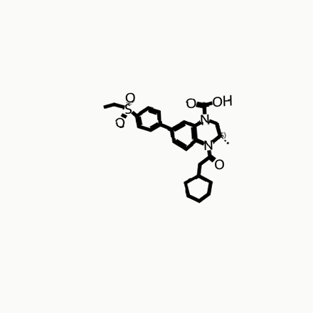 CCS(=O)(=O)c1ccc(-c2ccc3c(c2)N(C(=O)O)C[C@H](C)N3C(=O)CC2CCCCC2)cc1